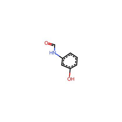 O=CNc1cccc(O)c1